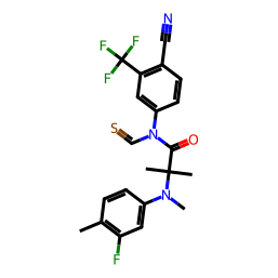 Cc1ccc(N(C)C(C)(C)C(=O)N(C=S)c2ccc(C#N)c(C(F)(F)F)c2)cc1F